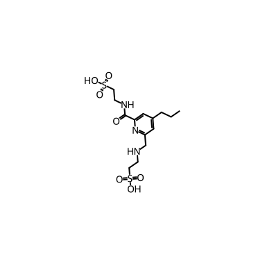 CCCc1cc(CNCCS(=O)(=O)O)nc(C(=O)NCCS(=O)(=O)O)c1